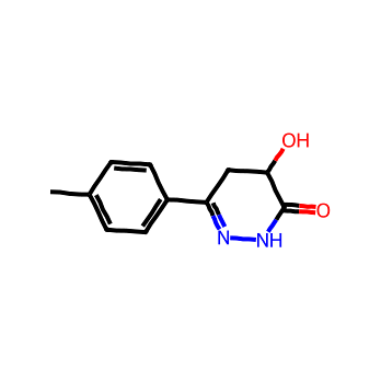 Cc1ccc(C2=NNC(=O)C(O)C2)cc1